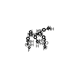 O=C(NC1CC(F)C1)c1cc2ccc(-c3nc(Nc4ccc(-c5cn[nH]c5)cc4-c4csc5c(Nc6ccc(-c7cn[nH]c7)cc6)nc(-c6ccc7cc(C(=O)NC8CC(F)(F)C8)[nH]c7c6)nc45)c4sccc4n3)cc2[nH]1